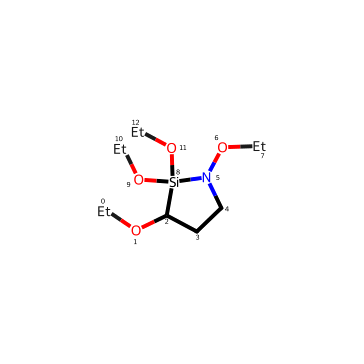 CCOC1CCN(OCC)[Si]1(OCC)OCC